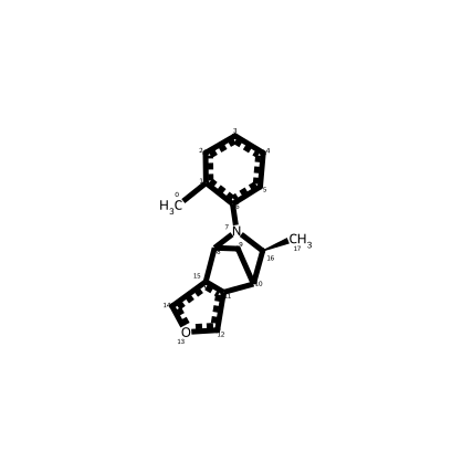 Cc1ccccc1N1C2CC(c3cocc32)[C@@H]1C